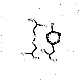 NC(CSSCC(N)C(=O)O)C(=O)O.NC(Cc1ccc(O)cc1)C(=O)O